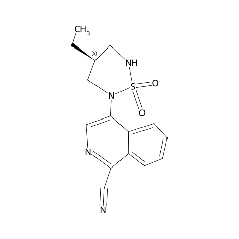 CC[C@H]1CNS(=O)(=O)N(c2cnc(C#N)c3ccccc23)C1